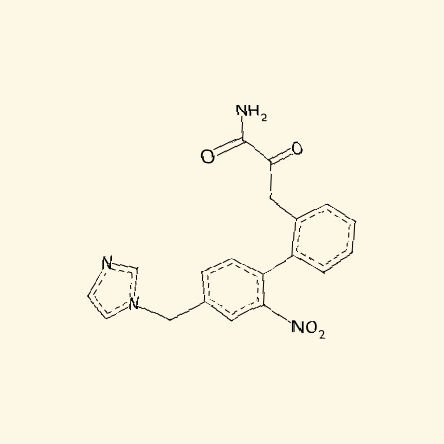 NC(=O)C(=O)Cc1ccccc1-c1ccc(Cn2ccnc2)cc1[N+](=O)[O-]